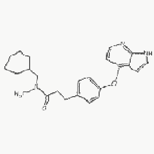 CN(CC1CCCCC1)C(=O)CCc1ccc(Oc2ccnc3[nH]ccc23)cc1